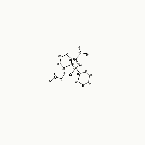 COCCSC(/N=N/C(C)C)(C1CCCCC1)C1CCCCC1